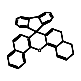 C1=CC2=C3Oc4c(ccc5ccccc45)C4(C3=CCC2CC1)c1ccccc1-c1ccccc14